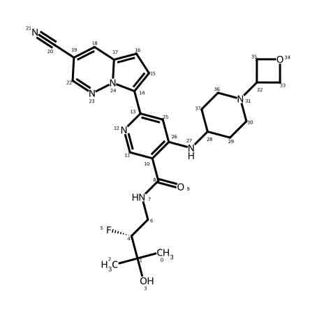 CC(C)(O)[C@H](F)CNC(=O)c1cnc(-c2ccc3cc(C#N)cnn23)cc1NC1CCN(C2COC2)CC1